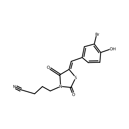 N#CCCCN1C(=O)S/C(=C\c2ccc(O)c(Br)c2)C1=O